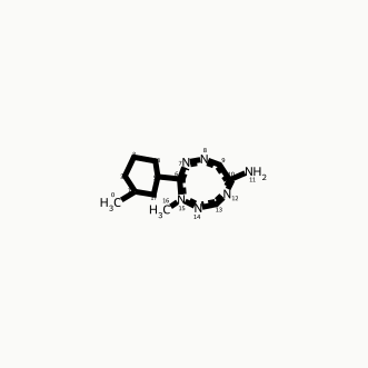 CC1CCCC(c2nncc(N)ncnn2C)C1